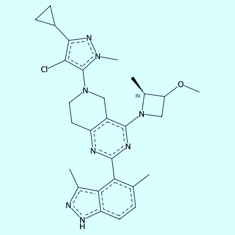 COC1CN(c2nc(-c3c(C)ccc4[nH]nc(C)c34)nc3c2CN(c2c(Cl)c(C4CC4)nn2C)CC3)[C@H]1C